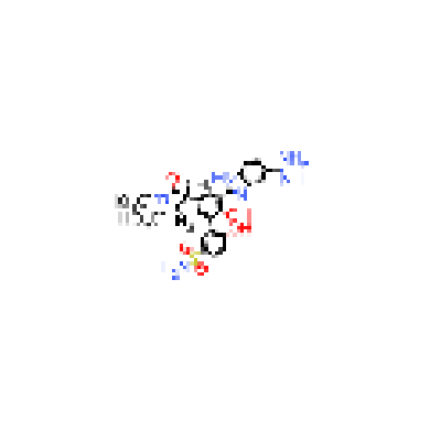 CC(C)(C(=O)N(CC(=O)O)CC(=O)O)c1cc(-c2nc3cc(C(=N)N)ccc3[nH]2)c(O)c(-c2cc(S(N)(=O)=O)ccc2O)c1